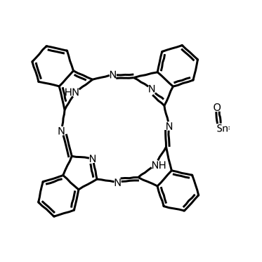 [O]=[Sn].c1ccc2c(c1)-c1nc-2nc2[nH]c(nc3nc(nc4[nH]c(n1)c1ccccc41)-c1ccccc1-3)c1ccccc21